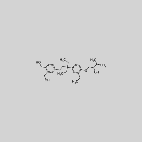 CCc1cc(C(CC)(CC)CCc2ccc(CO)c(CO)c2)ccc1SCC(O)C(C)C